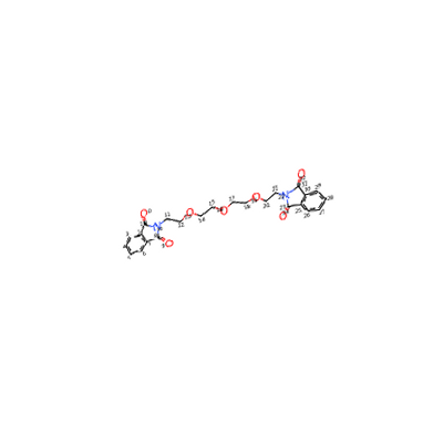 O=C1c2ccccc2C(=O)N1CCOCCOCCOCCN1C(=O)c2ccccc2C1=O